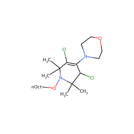 CCCCCCCCON1C(C)(C)C(Cl)=C(N2CCOCC2)C(Cl)C1(C)C